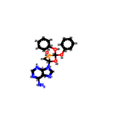 Nc1ncnc2c1ncn2C12CP1(=O)C(Oc1ccccc1)(Oc1ccccc1)O2